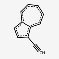 C#Cc1ccc2cccccc1-2